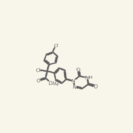 COC(=O)C(Cl)(c1ccc(Cl)cc1)c1ccc(-n2ncc(=O)[nH]c2=O)cc1